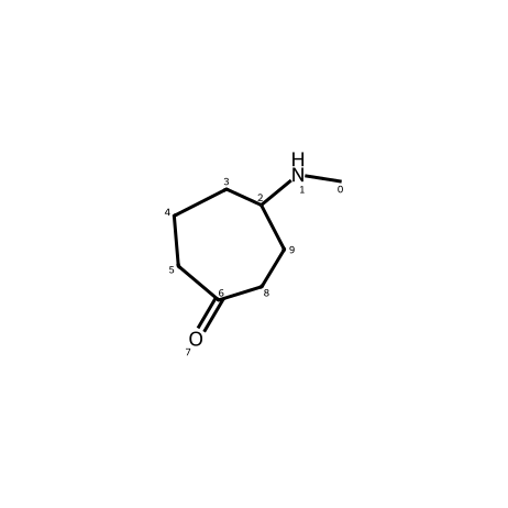 CNC1CCCC(=O)CC1